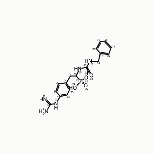 N=C(N)Nc1ccc(CC(NC(=O)NCc2ccccc2)P(=O)(O)O)cc1